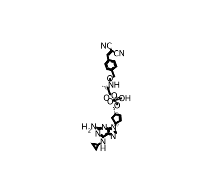 C[C@H](NOCc1ccc(C=C(C#N)C#N)cc1)C(=O)OP(=O)(O)OC[C@@H]1C=C[C@H](n2cnc3c(NC4CC4)nc(N)nc32)C1